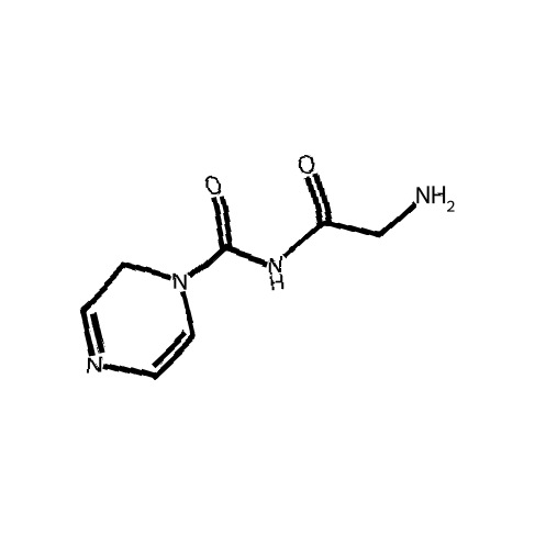 NCC(=O)NC(=O)N1C=CN=CC1